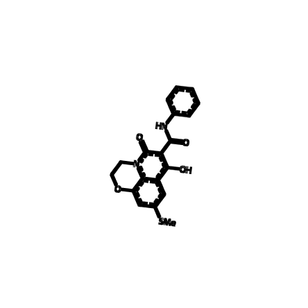 CSc1cc2c3c(c1)c(O)c(C(=O)Nc1ccccc1)c(=O)n3CCO2